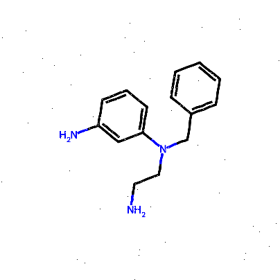 NCCN(Cc1ccccc1)c1cccc(N)c1